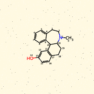 CN1CCc2ccccc2C2c3cc(O)ccc3CCC21